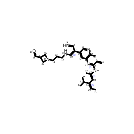 C=C/C(=N\c1cc(/C(C=N)=C/NCCCN2CC(C=O)C2)cnc1C)N/C(C)=C/C(=C\C)C(C)C